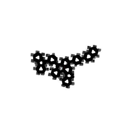 c1cc(N(c2ccc(-c3ccc(-c4ccc5ccccc5c4)cc3)cc2)c2ccccc2-c2cccc3sc4ccccc4c23)cc(-n2c3ccccc3c3ccccc32)c1